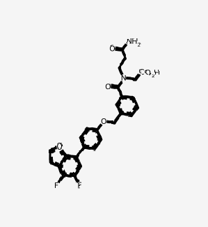 NC(=O)CCN(CC(=O)O)C(=O)c1cccc(COc2ccc(-c3cc(F)c(F)c4ccoc34)cc2)c1